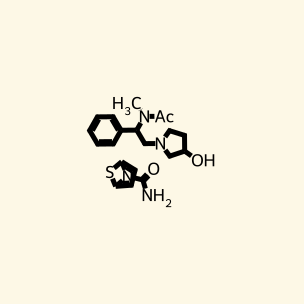 CC(=O)N(C)C(CN1CCC(O)C1)c1ccccc1.NC(=O)n1c2ccc1s2